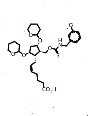 O=C(O)CCC/C=C\C[C@H]1[C@H](COC(=S)NCc2cccc(Cl)c2)[C@@H](OC2CCCCO2)C[C@@H]1OC1CCCCO1